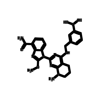 COc1nc2c(C(N)=O)cccc2n1-c1nc(NCc2cccc(B(O)O)c2)c2c(n1)N(C)CCC2